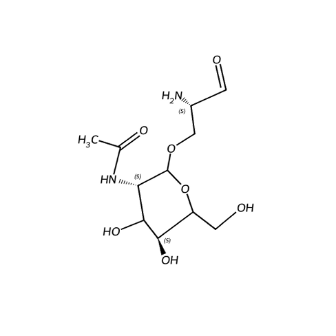 CC(=O)N[C@@H]1C(OC[C@H](N)C=O)OC(CO)[C@@H](O)C1O